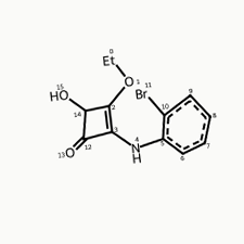 CCOC1=C(Nc2ccccc2Br)C(=O)C1O